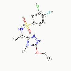 CCn1c(OCC(F)(F)F)nnc1[C@@H](C)NS(=O)(=O)c1ccc(F)c(Cl)c1